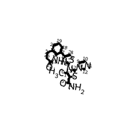 CC1=C(C(N)=O)SC(n2ccnc2)N1c1nc(-c2cccc3c2NC(=O)CC3)cs1